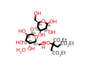 CCOC(=O)CC(O)(CC(=O)OCC)C(=O)OCC.O.OC[C@H]1O[C@@H](O[C@H]2[C@H](O)[C@@H](O)[C@H](O)O[C@@H]2CO)[C@H](O)[C@@H](O)[C@H]1O